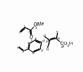 C=CC(=O)OC.C=Cc1ccccc1.CC(C)=C(C)C(=O)O